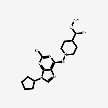 CCCOC(CC)C1CCN(Nc2nc(Cl)nc3c2ncn3C2CCCC2)CC1